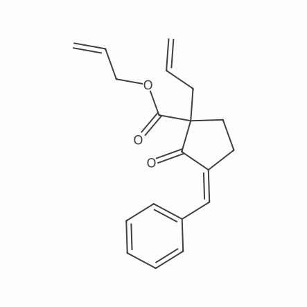 C=CCOC(=O)C1(CC=C)CC/C(=C/c2ccccc2)C1=O